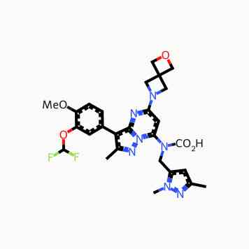 COc1ccc(-c2c(C)nn3c(N(Cc4cc(C)nn4C)C(=O)O)cc(N4CC5(COC5)C4)nc23)cc1OC(F)F